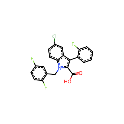 O=C(O)c1c(-c2ccccc2F)c2cc(Cl)ccc2n1Cc1cc(F)ccc1F